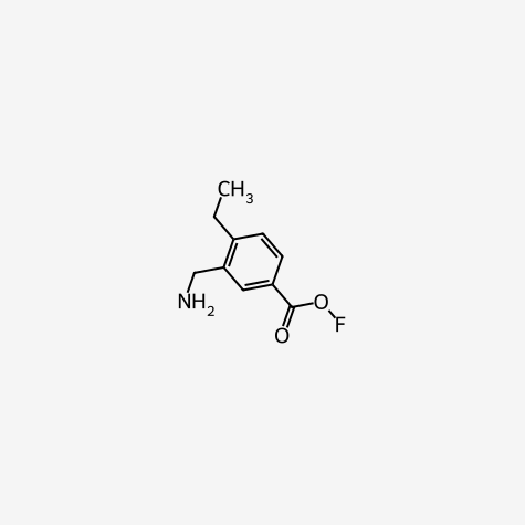 CCc1ccc(C(=O)OF)cc1CN